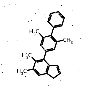 Cc1cc2c(c(-c3cc(C)c(-c4ccccc4)c(C)c3)c1C)C=CC2